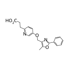 Cc1oc(-c2ccccc2)nc1COc1ccc(CCC(=O)O)nc1